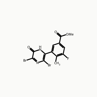 COC(=O)c1cc(F)c(C)c(-c2[nH]c(=O)c(Br)nc2Br)c1